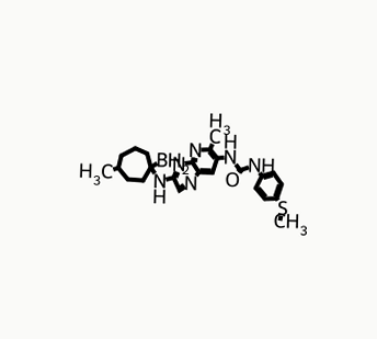 BC1(Nc2cnc3cc(NC(=O)Nc4ccc(SC)cc4)c(C)nc3n2)CCCC(C)CC1